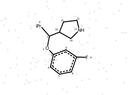 CC(C)C(Oc1cccc(F)c1)C1CCNC1